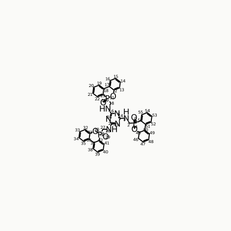 O=P1(CNc2nc(NCP3(=O)Oc4ccccc4-c4ccccc43)nc(NCP3(=O)Oc4ccccc4-c4ccccc43)n2)OC2CC=CC=C2c2ccccc21